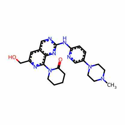 CN1CCN(c2ccc(Nc3ncc4cc(CO)nc(N5CCCCC5=O)c4n3)nc2)CC1